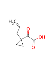 C=CCC1(C(=O)C(=O)O)CC1